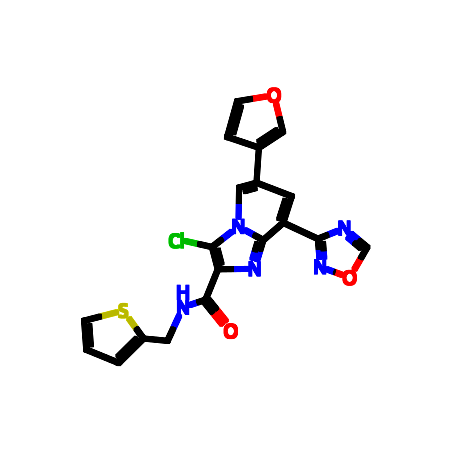 O=C(NCc1cccs1)c1nc2c(-c3ncon3)cc(-c3ccoc3)cn2c1Cl